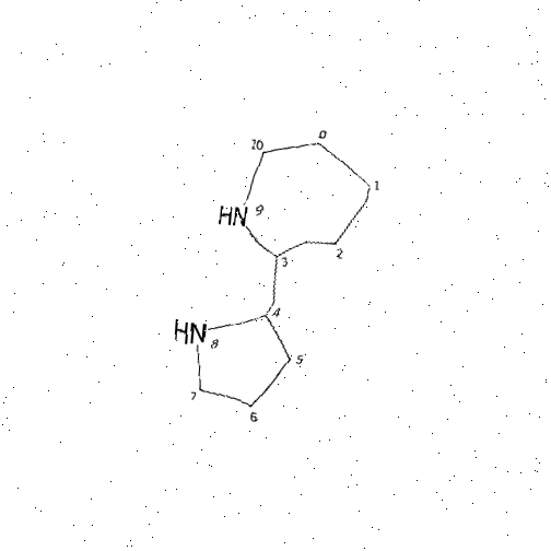 C1CCC(C2CCCN2)NC1